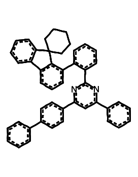 c1ccc(-c2ccc(-c3cc(-c4ccccc4)nc(-c4ccccc4-c4cccc5c4C4(CCCCC4)c4ccccc4-5)n3)cc2)cc1